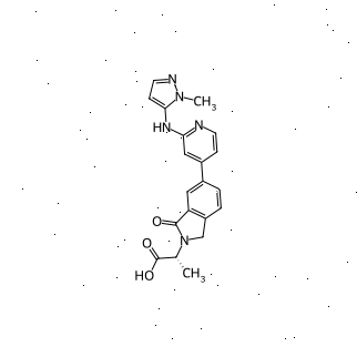 C[C@H](C(=O)O)N1Cc2ccc(-c3ccnc(Nc4ccnn4C)c3)cc2C1=O